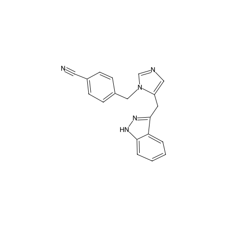 N#Cc1ccc(Cn2cncc2Cc2n[nH]c3ccccc23)cc1